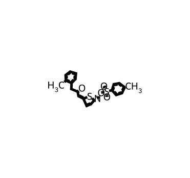 Cc1ccc(S(=O)(=O)ON=C2C=CC(=CC(=O)Cc3ccccc3C)S2)cc1